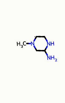 CN1[CH]CNC(N)C1